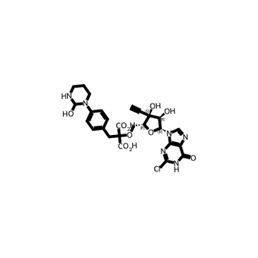 C#C[C@@]1(O)[C@@H](COC(Cc2ccc(N3CCCNC3O)cc2)(C(=O)O)C(=O)O)O[C@@H](n2cnc3c(=O)[nH]c(Cl)nc32)[C@@H]1O